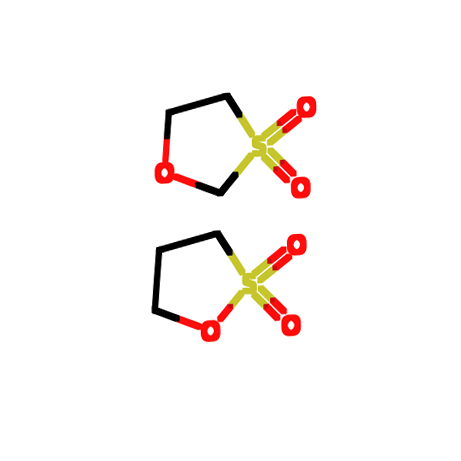 O=S1(=O)CCCO1.O=S1(=O)CCOC1